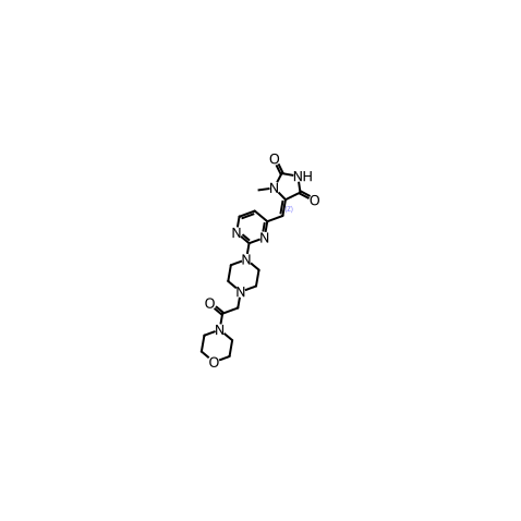 CN1C(=O)NC(=O)/C1=C/c1ccnc(N2CCN(CC(=O)N3CCOCC3)CC2)n1